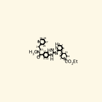 CCOC(=O)N1CC=C(c2ccc[nH]/c2=N\C(=N)Nc2ccc(C(=O)N(C)CCc3ccccn3)cc2)CC1